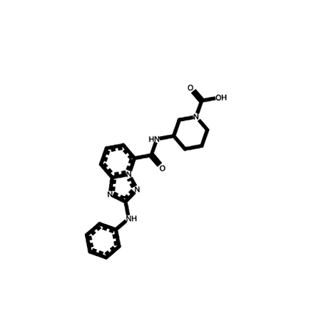 O=C(NC1CCCN(C(=O)O)C1)c1cccc2nc(Nc3ccccc3)nn12